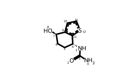 NC(=O)N[C@@H]1CC[C@@H](O)c2ccsc21